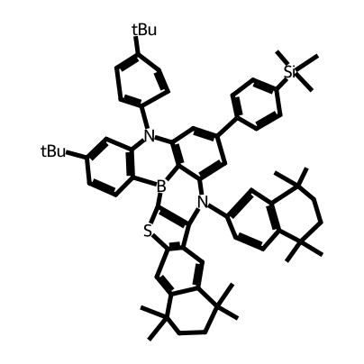 CC(C)(C)c1ccc(N2c3cc(C(C)(C)C)ccc3B3c4sc5cc6c(cc5c4N(c4ccc5c(c4)C(C)(C)CCC5(C)C)c4cc(-c5ccc([Si](C)(C)C)cc5)cc2c43)C(C)(C)CCC6(C)C)cc1